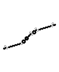 C=CC(=O)OCCCCCCCCCCCOC(=O)C1CCC(OC(=O)C#Cc2ccc(C3CCC(OCCCCCCCCCCCOC(=O)C=C)CC3)cc2)CC1